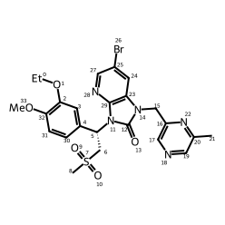 CCOc1cc([C@@H](CS(C)(=O)=O)n2c(=O)n(Cc3cncc(C)n3)c3cc(Br)cnc32)ccc1OC